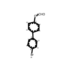 O=COc1ccc(-c2ccc(Br)cc2)cc1